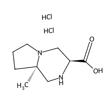 C[C@]12CCCN1C[C@@H](C(=O)O)NC2.Cl.Cl